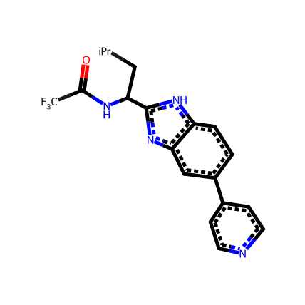 CC(C)CC(NC(=O)C(F)(F)F)c1nc2cc(-c3ccncc3)ccc2[nH]1